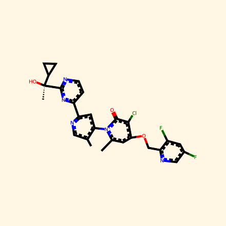 Cc1cnc(-c2ccnc([C@@](C)(O)C3CC3)n2)cc1-n1c(C)cc(OCc2ncc(F)cc2F)c(Cl)c1=O